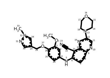 COc1cc(Nc2ccc3ncc(N4CCOCC4)nc3c2C#N)ccc1OCc1cnn(C)c1